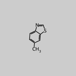 Cc1ccc2ncsc2c1